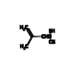 C=C(C)C=O.N#CS